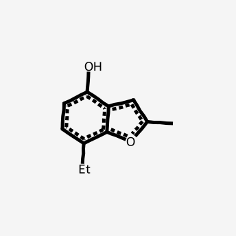 CCc1ccc(O)c2cc(C)oc12